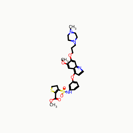 COC(=O)C1=C(S(=O)(=O)Nc2cccc(Oc3ccnc4cc(OCCCN5CCN(C)CC5)c(OC)cc34)c2)CCS1